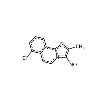 Cc1nc2c3cccc(Cl)c3ccn2c1N=O